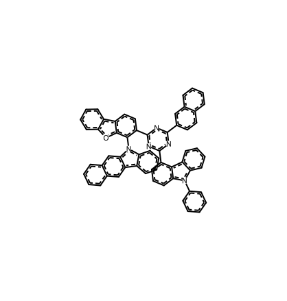 c1ccc(-n2c3ccccc3c3c(-c4nc(-c5ccc6ccccc6c5)nc(-c5ccc6c(oc7ccccc76)c5-n5c6ccccc6c6cc7ccccc7cc65)n4)cccc32)cc1